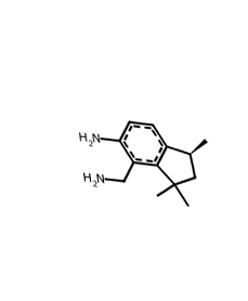 C[C@H]1CC(C)(C)c2c1ccc(N)c2CN